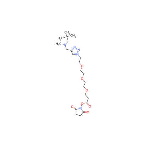 CN(Cc1cn(CCOCCOCCOCCC(=O)ON2C(=O)CCC2=O)nn1)CC(C)(C)C